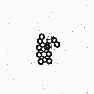 C=Cc1c(-c2cccc3ccccc23)nc(-c2cccc3c2C2(c4ccccc4-c4ccccc42)c2ccccc2C32c3ccccc3-c3ccccc32)nc1-c1cccc2ccccc12